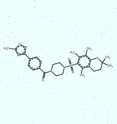 Cc1nc(-c2ccc(C(=O)N3CCN(S(=O)(=O)c4c(C)c(C)c5c(c4C)CCC(C)(C)O5)CC3)cc2)no1